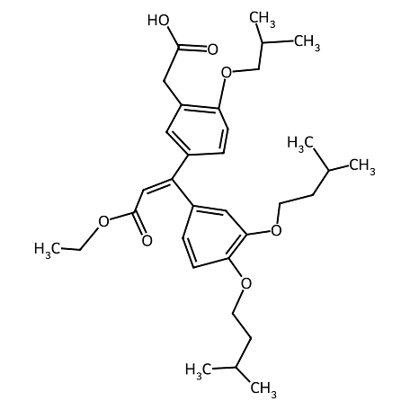 CCOC(=O)C=C(c1ccc(OCC(C)C)c(CC(=O)O)c1)c1ccc(OCCC(C)C)c(OCCC(C)C)c1